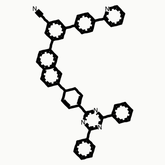 N#Cc1cc(-c2ccc(-c3ccccn3)cc2)cc(-c2ccc3ccc(C4C=CC(c5nc(-c6ccccc6)nc(-c6ccccc6)n5)=CC4)cc3c2)c1